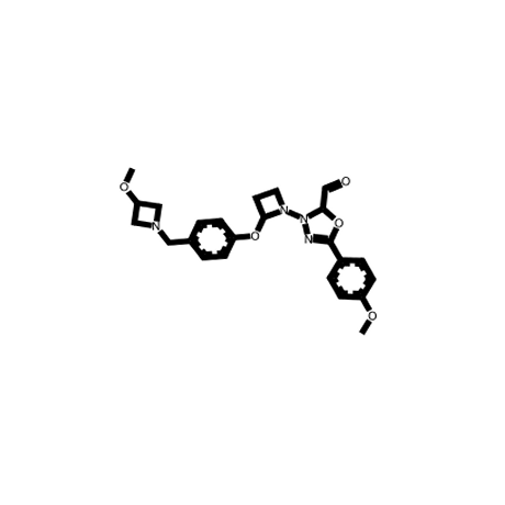 COc1ccc(C2=NN(N3CCC3Oc3ccc(CN4CC(OC)C4)cc3)C(C=O)O2)cc1